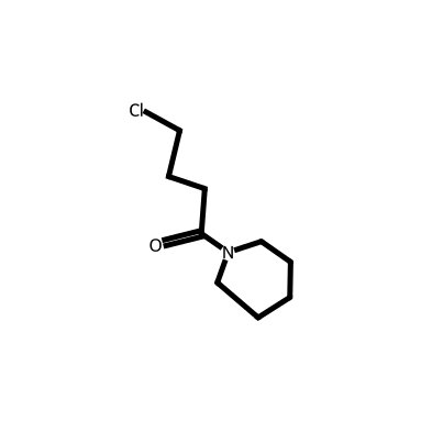 O=C(CCCCl)N1CCCCC1